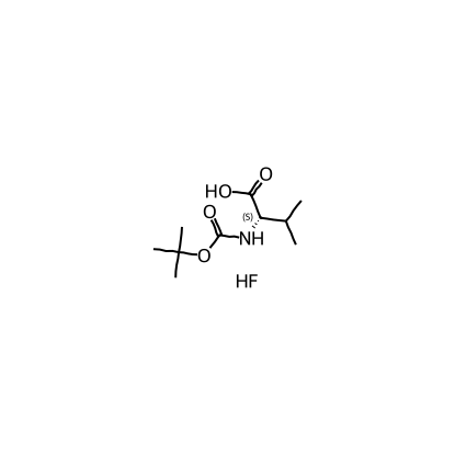 CC(C)[C@H](NC(=O)OC(C)(C)C)C(=O)O.F